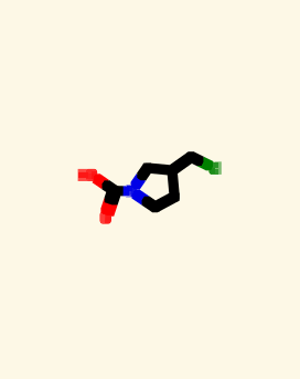 O=C(O)N1CCC(CCl)C1